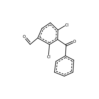 O=Cc1ccc(Cl)c(C(=O)c2ccccc2)c1Cl